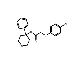 O=C(COc1ccc(Cl)cc1)OC1(c2ccccc2)CCNCC1